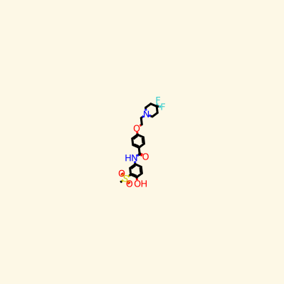 CS(=O)(=O)c1cc(NC(=O)c2ccc(OCCN3CCC(F)(F)CC3)cc2)ccc1O